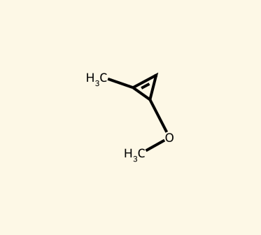 COC1C=C1C